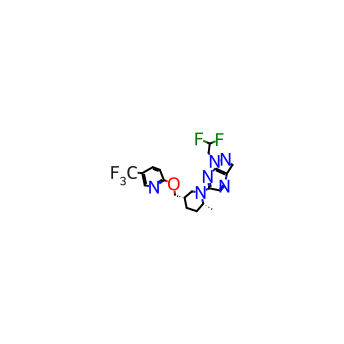 C[C@@H]1CC[C@H](COc2ccc(C(F)(F)F)cn2)CN1c1cnc2cnn(CC(F)F)c2n1